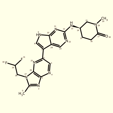 Cc1nc2ncc(-c3c[nH]c4nc(N[C@@H]5CCC(=O)N(C)C5)ncc34)nc2n1CC(F)F